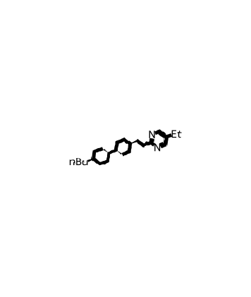 CCCC[C@H]1CC[C@H]([C@H]2CC[C@H](CCc3ncc(CC)cn3)CC2)CC1